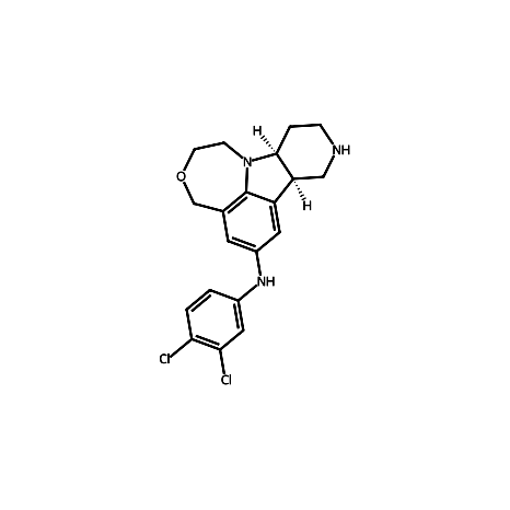 Clc1ccc(Nc2cc3c4c(c2)[C@@H]2CNCC[C@@H]2N4CCOC3)cc1Cl